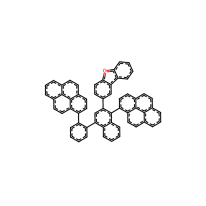 c1ccc(-c2ccc3ccc4cccc5ccc2c3c45)c(-c2cc(-c3ccc4oc5ccccc5c4c3)c(-c3ccc4ccc5cccc6ccc3c4c56)c3ccccc23)c1